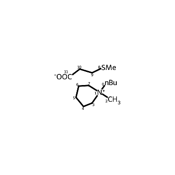 CCCC[N+]1(C)CCCCC1.CSCCC(=O)[O-]